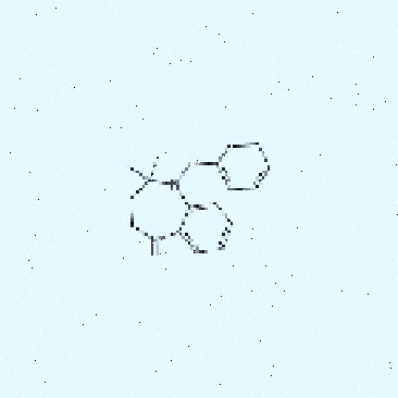 CC1(C)CCNc2ccccc2N1Cc1ccccc1